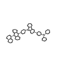 c1ccc(N(c2ccccc2)c2ccc(-c3ccc4c(c3)c3ccccc3n4-c3ccc(-c4c5ccccc5c(-c5cccc6ccccc56)c5ccccc45)cc3)cc2)cc1